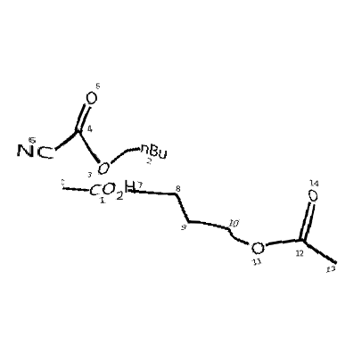 CC(=O)O.CCCCOC(=O)C#N.CCCCOC(C)=O